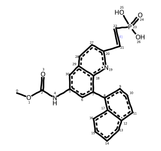 COC(=O)Nc1cc(-c2cccc3ccccc23)c2nc(/C=C/P(=O)(O)O)ccc2c1